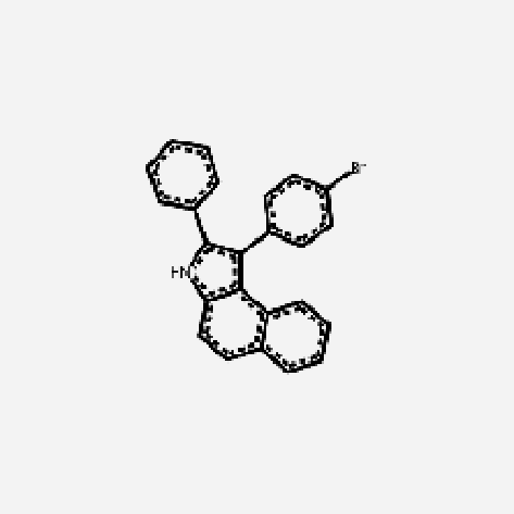 Brc1ccc(-c2c(-c3ccccc3)[nH]c3ccc4ccccc4c23)cc1